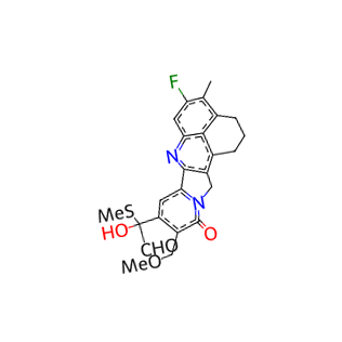 COCc1c(C(O)(C=O)SC)cc2n(c1=O)Cc1c-2nc2cc(F)c(C)c3c2c1CCC3